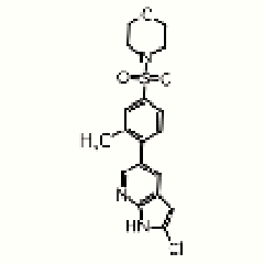 Cc1cc(S(=O)(=O)N2CCOCC2)ccc1-c1cnc2[nH]c(Cl)cc2c1